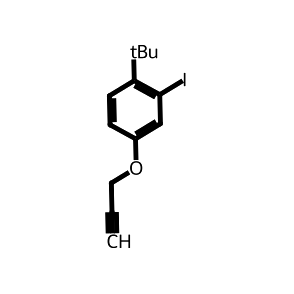 C#CCOc1ccc(C(C)(C)C)c(I)c1